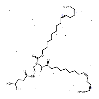 CCCCC/C=C\C/C=C\CCCCCCCCOC(=O)[C@@H]1C[C@@H](NC(=O)CCC(O)O)CN1C(=O)CCCCCCC/C=C\C/C=C\CCCCC